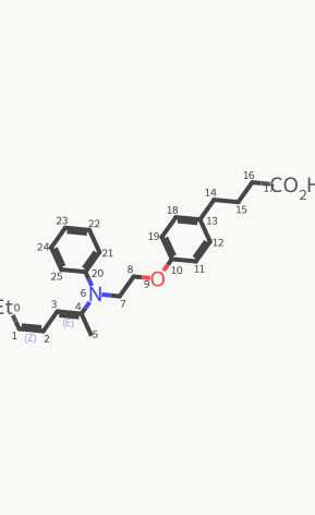 CC/C=C\C=C(/C)N(CCOc1ccc(CCCC(=O)O)cc1)c1ccccc1